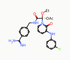 CCO[C@](OC(C)=O)(C(=O)NCc1ccc(C(=N)N)cc1)n1cccc(Nc2cccc(F)c2)c1=O